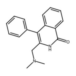 CN(C)Cc1[nH]c(=O)c2ccccc2c1-c1ccccc1